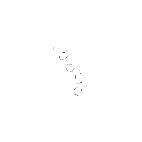 COc1cc(-c2ccc3c(c2)NC(=O)/C3=C\c2c[nH]c3ncccc23)ccc1O